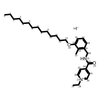 CCCCCCCCCCCCCCOc1cccc(CNC(=O)c2cc[n+](CC)cc2)c1C.[I-]